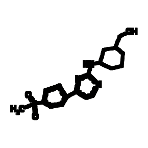 CS(=O)(=O)c1ccc(-c2ccnc(NC3CCCC(CO)C3)n2)cc1